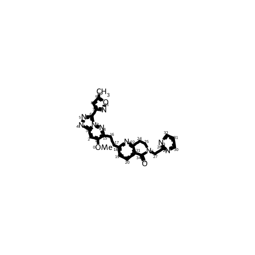 COc1cc2nnc(-c3cc(C)on3)n2nc1CCc1ccc2c(n1)CCN(Cc1ncccn1)C2=O